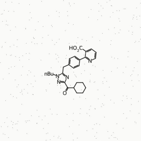 CCCCn1nc(C(=O)C2CCCCC2)nc1Cc1ccc(-c2ncccc2C(=O)O)cc1